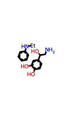 CCNc1ccccc1.NCC(O)c1ccc(O)c(O)c1